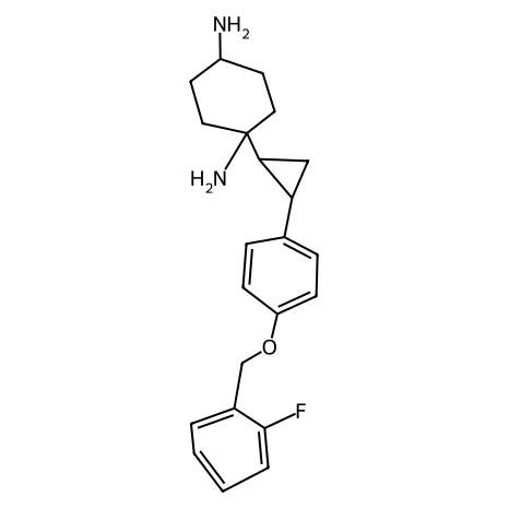 NC1CCC(N)(C2CC2c2ccc(OCc3ccccc3F)cc2)CC1